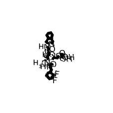 CN(C(=O)NCc1cccc(F)c1F)[C@@]1(C[C@@H](O)COP(=O)(O)O)SC1COC(=O)Nc1cc2ccccc2cn1